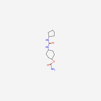 NC(=O)OC1CCC(NC(=O)NC2CCCC2)CC1